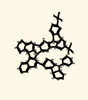 CC(C)(C)c1ccc2c(c1)c1cc(C(C)(C)C)cc3c4cc5c(nc4n2c13)c1cc2ccccc2c2c3c4ccccc4cc(-c4ccc6c(c4)c4ccccc4n6-c4ccccc4)c3n5c12